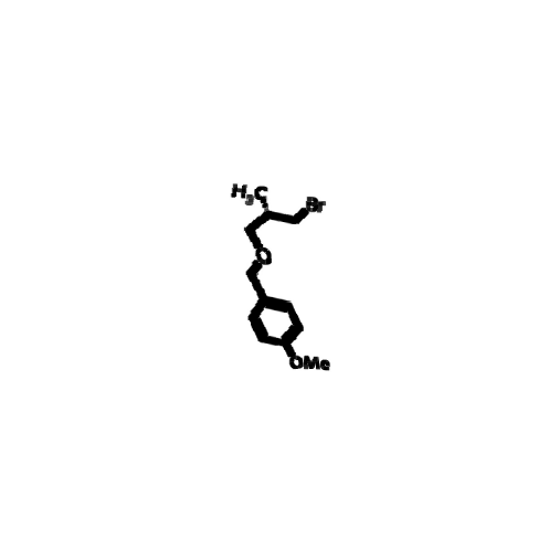 COc1ccc(COC[C@H](C)CBr)cc1